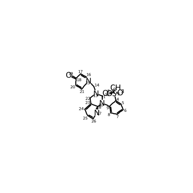 CS(=O)(=O)c1ccccc1N1C(=O)N(Cn2ccc(=O)cc2)Cc2cccnc21